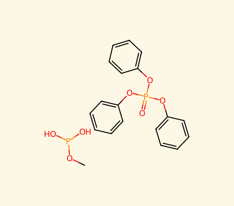 COP(O)O.O=P(Oc1ccccc1)(Oc1ccccc1)Oc1ccccc1